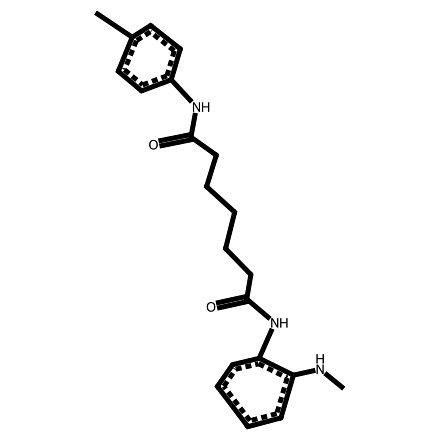 CNc1ccccc1NC(=O)CCCCCC(=O)Nc1ccc(C)cc1